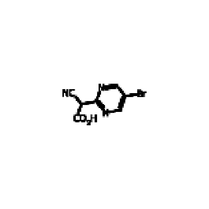 N#CC(C(=O)O)c1ncc(Br)cn1